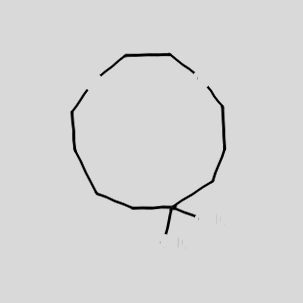 O=CC1(C=O)CCCCCCCCCCC1